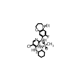 CCN1CCCOc2cc(Nc3ncc(Cl)c(N[C@@H]4CCCC[C@H]4NS(C)(=O)=O)n3)c(F)cc21